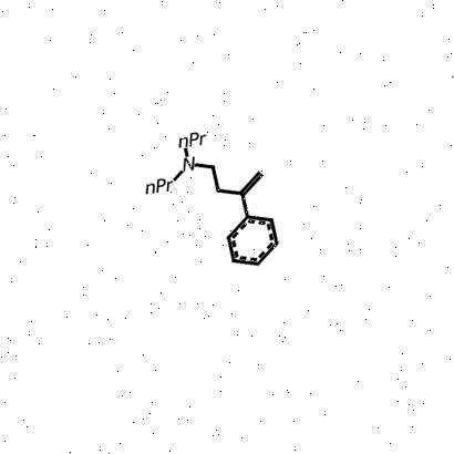 C=C(CCN(CCC)CCC)c1ccccc1